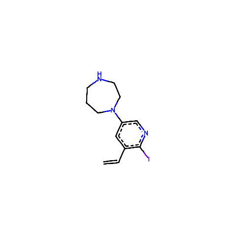 C=Cc1cc(N2CCCNCC2)cnc1I